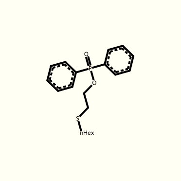 CCCCCCSCCOP(=O)(c1ccccc1)c1ccccc1